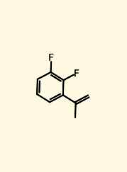 C=C(C)c1cccc(F)c1F